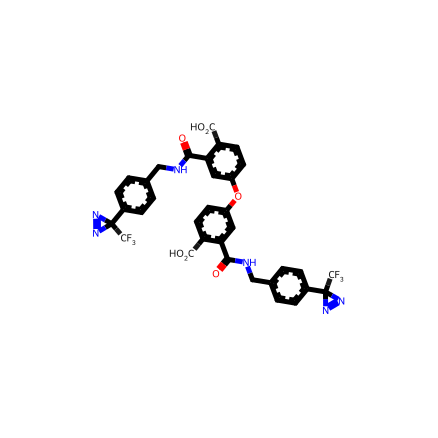 O=C(O)c1ccc(Oc2ccc(C(=O)O)c(C(=O)NCc3ccc(C4(C(F)(F)F)N=N4)cc3)c2)cc1C(=O)NCc1ccc(C2(C(F)(F)F)N=N2)cc1